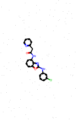 O=C(Cc1ccccn1)Nc1cccc2oc(Nc3cccc(Cl)c3)nc12